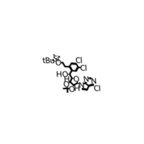 CC1(C)O[C@H]2[C@@H](O1)[C@H](n1ccc3c(Cl)ncnc31)O[C@@H]2[C@H](O)c1cc(Cl)c(Cl)cc1CCO[Si](C)(C)C(C)(C)C